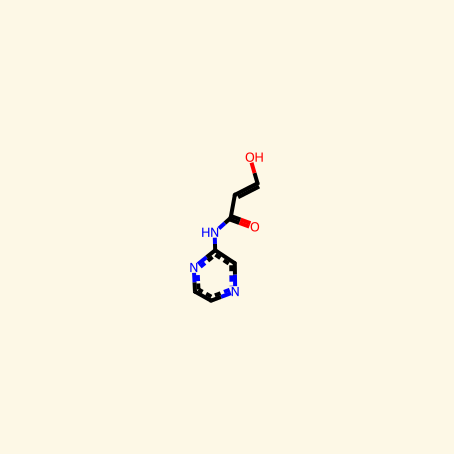 O=C(C=CO)Nc1cnccn1